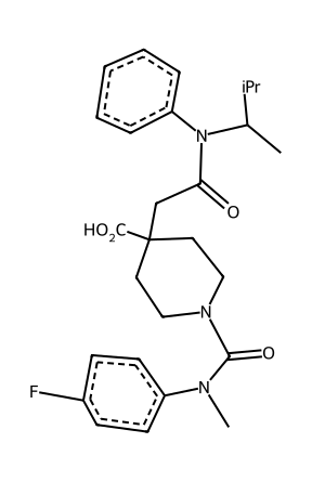 CC(C)C(C)N(C(=O)CC1(C(=O)O)CCN(C(=O)N(C)c2ccc(F)cc2)CC1)c1ccccc1